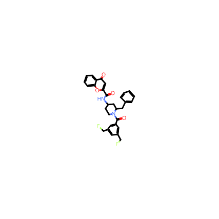 O=C(NC1CCN(C(=O)c2cc(CF)cc(CF)c2)C(Cc2ccccc2)C1)c1cc(=O)c2ccccc2o1